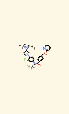 CN(C(=O)c1ccc(COc2ccccn2)cc1)c1ccc(N2CCC(N(C)C)C2)c(F)c1